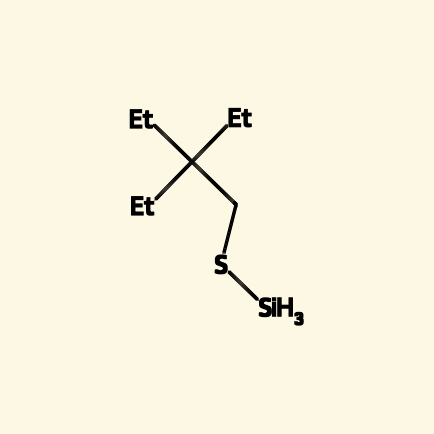 CCC(CC)(CC)CS[SiH3]